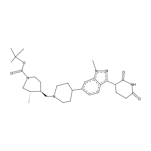 C[C@@H]1CN(C(=O)OC(C)(C)C)CC[C@H]1CN1CCC(c2ccc3c(C4CCC(=O)NC4=O)nn(C)c3c2)CC1